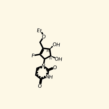 CCOCC1=C(F)C(n2ccc(=O)[nH]c2=O)[C@H](O)[C@@H]1O